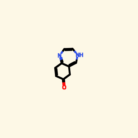 O=C1C=CC2=NC=CNC=C2C1